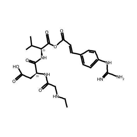 CCNCC(=O)N[C@@H](CC(=O)O)C(=O)N[C@H](C(=O)OC(=O)C=Cc1ccc(NC(=N)N)cc1)C(C)C